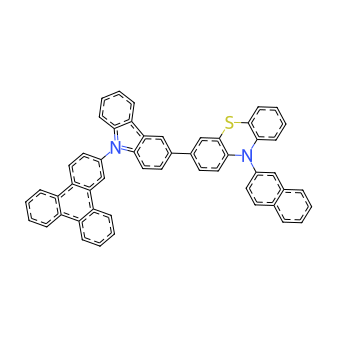 c1ccc2c(c1)Sc1cc(-c3ccc4c(c3)c3ccccc3n4-c3ccc4c5ccccc5c5ccccc5c4c3)ccc1N2c1ccc2ccccc2c1